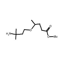 CC(CCC(=O)OC(C)(C)C)OCCC(C)(C)N